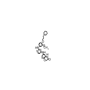 COc1cc(Nc2nccc(Nc3cnc4c(c3)NC(=O)CO4)n2)ccc1OCCCN1CCCCC1